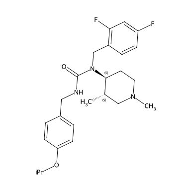 CC(C)Oc1ccc(CNC(=O)N(Cc2ccc(F)cc2F)[C@H]2CCN(C)C[C@@H]2C)cc1